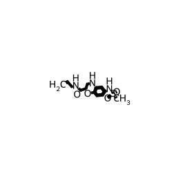 C=CCNC(=O)C1CNc2cc(NS(C)(=O)=O)ccc2O1